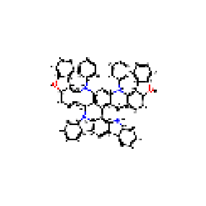 c1ccc(N2c3cc4c5c6c3B(c3ccc7oc8ccccc8c7c32)n2c3ccccc3c3cc7c8ccccc8n(c7c-6c32)B5c2ccc3oc5ccccc5c3c2N4c2ccccc2)cc1